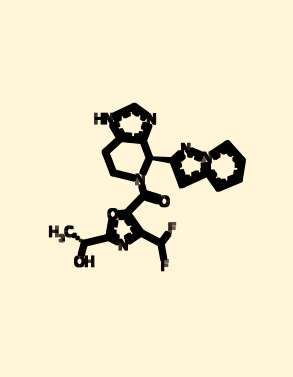 C[C@@H](O)c1nc(C(F)F)c(C(=O)N2CCc3[nH]cnc3[C@H]2c2cc3ccccn3n2)o1